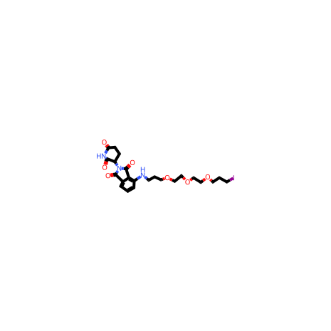 O=C1CCC(N2C(=O)c3cccc(NCCCOCCOCCOCCCI)c3C2=O)C(=O)N1